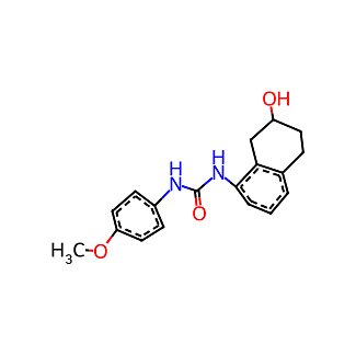 COc1ccc(NC(=O)Nc2cccc3c2CC(O)CC3)cc1